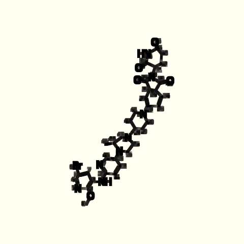 COc1ncc(Br)cc1Nc1ccc(N2CCN(C3CCN(c4ccc5c(c4)C(=O)N(C4CCC(=O)NC4=O)C5=O)CC3)C[C@@H]2C)cn1